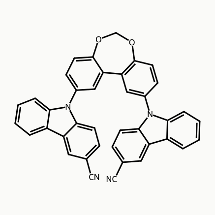 N#Cc1ccc2c(c1)c1ccccc1n2-c1ccc2c(c1)-c1cc(-n3c4ccccc4c4cc(C#N)ccc43)ccc1OCO2